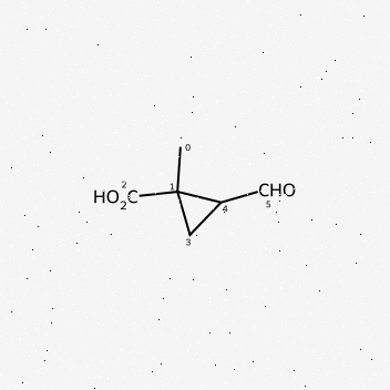 CC1(C(=O)O)CC1C=O